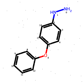 NNc1ccc(Oc2ccccc2)cc1